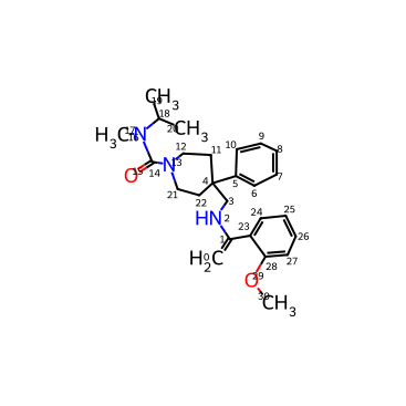 C=C(NCC1(c2ccccc2)CCN(C(=O)N(C)C(C)C)CC1)c1ccccc1OC